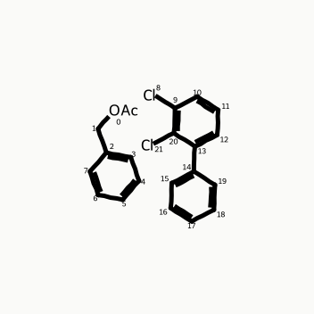 CC(=O)OCc1ccccc1.Clc1cccc(-c2ccccc2)c1Cl